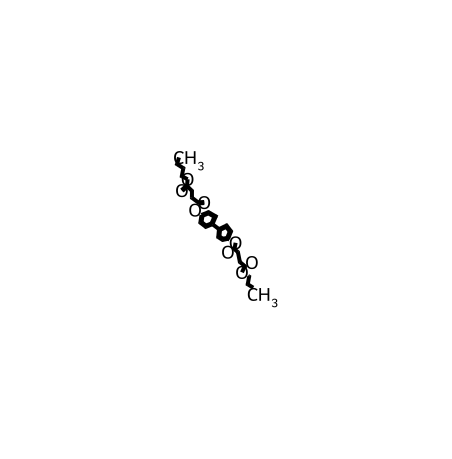 CCCCOC(=O)CCC(=O)Oc1ccc(-c2ccc(OC(=O)CCC(=O)OCCCC)cc2)cc1